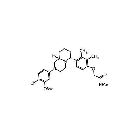 CNC(=O)COc1ccc([C@H]2CCC[C@H]3CN(c4ccc(Cl)c(OC)c4)CCN32)c(C)c1C